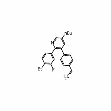 C=Cc1ccc(-c2cc(CCCC)cnc2-c2ccc(CC)c(F)c2)cc1